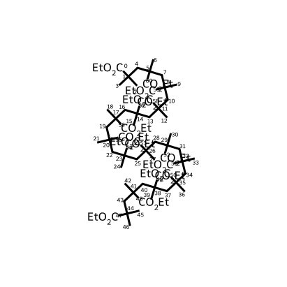 CCOC(=O)C(C)(C)CC(C)(CC(C)(CC(C)(CC(C)(CC(C)(CC(C)(CC(C)(CC(C)(CC(C)(CC(C)(CC(C)(CC(C)(CC(C)(CC(C)(C)C(=O)OCC)C(=O)OCC)C(=O)OCC)C(=O)OCC)C(=O)OCC)C(=O)OCC)C(=O)OCC)C(=O)OCC)C(=O)OCC)C(=O)OCC)C(=O)OCC)C(=O)OCC)C(=O)OCC)C(=O)OCC